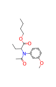 CCCCOC(=O)C(CC)N(C(C)=O)c1cccc(OC)c1